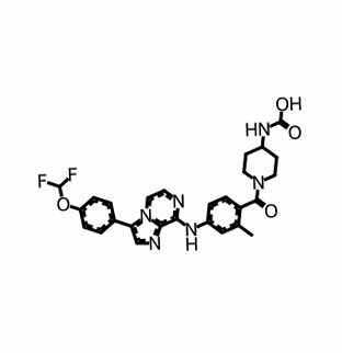 Cc1cc(Nc2nccn3c(-c4ccc(OC(F)F)cc4)cnc23)ccc1C(=O)N1CCC(NC(=O)O)CC1